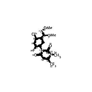 CON=C(OC)c1cc(-n2c(=O)cc(C(F)(F)F)n(C)c2=O)c(F)cc1Cl